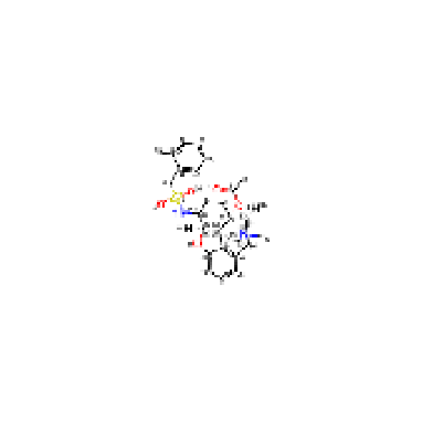 CC(=O)O[C@@]12CC[C@H](NS(=O)(=O)Cc3ccccc3C)[C@@H]3Oc4cccc5c4[C@@]31CCN(C)[C@@H]2C5